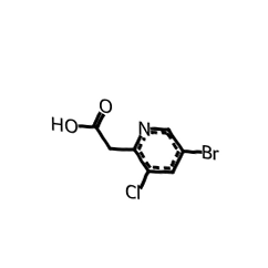 O=C(O)Cc1ncc(Br)cc1Cl